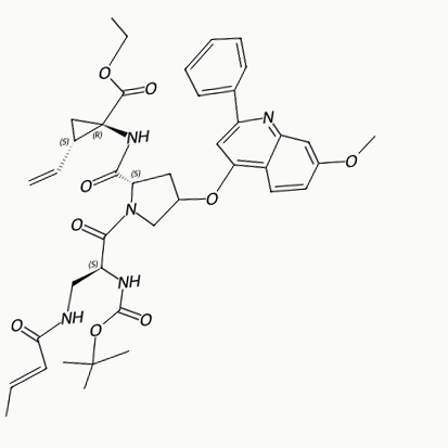 C=C[C@@H]1C[C@]1(NC(=O)[C@@H]1CC(Oc2cc(-c3ccccc3)nc3cc(OC)ccc23)CN1C(=O)[C@H](CNC(=O)C=CC)NC(=O)OC(C)(C)C)C(=O)OCC